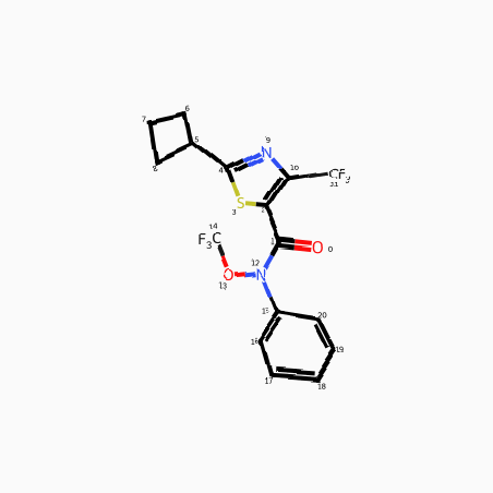 O=C(c1sc(C2CCC2)nc1C(F)(F)F)N(OC(F)(F)F)c1ccccc1